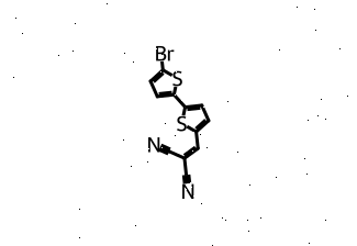 N#CC(C#N)=Cc1ccc(-c2ccc(Br)s2)s1